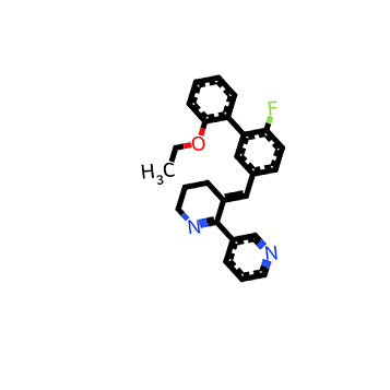 CCOc1ccccc1-c1cc(C=C2CCCN=C2c2cccnc2)ccc1F